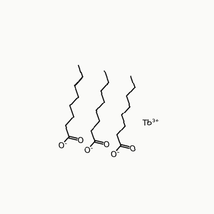 CCCCCCCC(=O)[O-].CCCCCCCC(=O)[O-].CCCCCCCC(=O)[O-].[Tb+3]